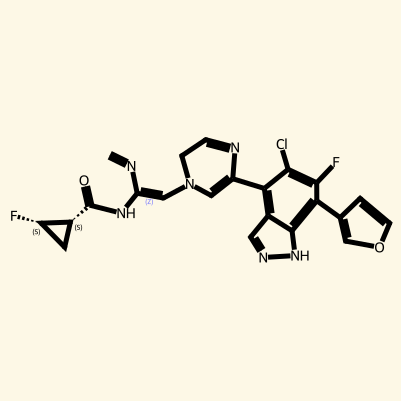 C=N/C(=C\N1C=C(c2c(Cl)c(F)c(-c3ccoc3)c3[nH]ncc23)N=CC1)NC(=O)[C@@H]1C[C@@H]1F